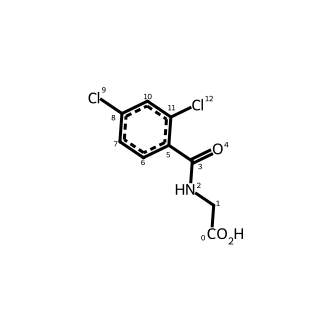 O=C(O)CNC(=O)c1ccc(Cl)cc1Cl